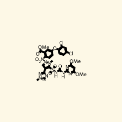 COC(=O)c1cc(Oc2ccc(Cl)cc2Cl)ccc1[N+](=O)[O-].COc1cc(OC)nc(NC(=O)NS(=O)(=O)c2c(-c3nnn(C)n3)cnn2C)n1